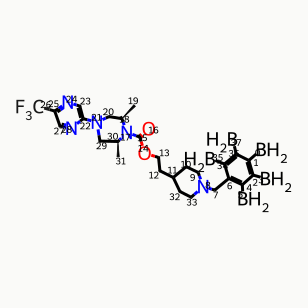 Bc1c(B)c(B)c(CN2CCC(CCOC(=O)N3[C@H](C)CN(c4cnc(C(F)(F)F)cn4)C[C@@H]3C)CC2)c(B)c1B